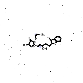 CCCC/C=C\C[C@H]1C(=O)C(O)C[C@@H]1/C=C/C(O)CCc1sc2ccccc2c1Cl